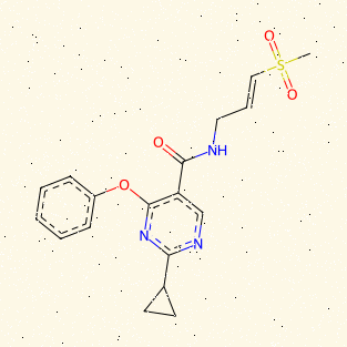 CS(=O)(=O)/C=C/CNC(=O)c1cnc(C2CC2)nc1Oc1ccccc1